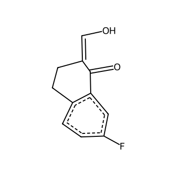 O=C1C(=CO)CCc2ccc(F)cc21